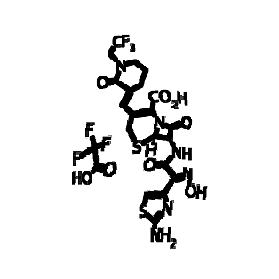 Nc1nc(C(=NO)C(=O)N[C@@H]2C(=O)N3C(C(=O)O)=C(C=C4CCCN(CC(F)(F)F)C4=O)CS[C@H]23)cs1.O=C(O)C(F)(F)F